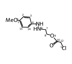 COc1ccc(NNCCOC(=O)CCl)cc1